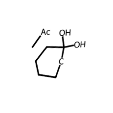 CC(C)=O.OC1(O)CCCCC1